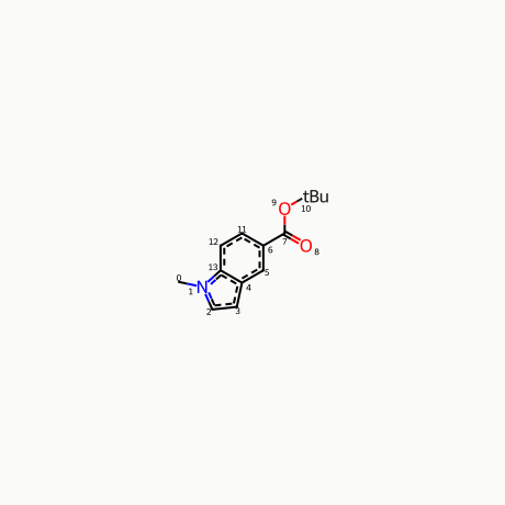 Cn1ccc2cc(C(=O)OC(C)(C)C)ccc21